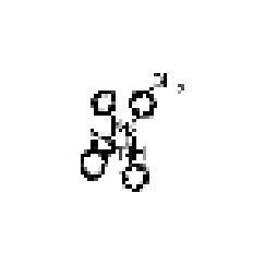 Bc1ccc(BN(c2ccccc2)c2sc3ccccc3c2Nc2ccccc2)cc1